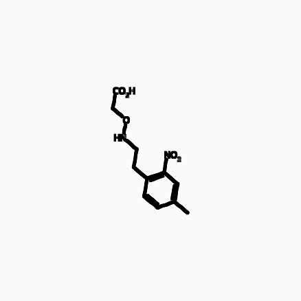 Cc1ccc(CCNOCC(=O)O)c([N+](=O)[O-])c1